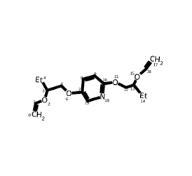 C=COC(CC)COc1ccc(OCC(CC)OC=C)nc1